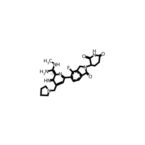 CN/C(N)=C1\N=C(c2ccc3c(c2F)CN(C2CCC(=O)NC2=O)C3=O)C=C(CN2CCCC2)C1=N